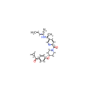 C=C/C=C(\C)NC(=C)c1ccc(C(=O)N2CCC(Oc3ccc(C(=O)C4CC4)cc3)CC2)nc1